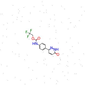 O=C(Nc1ccc(-c2ccc(=O)[nH]n2)cc1)OCC(F)(F)F